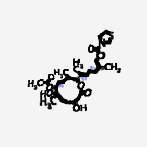 CC(=O)O[C@@H]1/C=C/[C@H](C)[C@H](/C(C)=C/C=C/[C@@H](C)COC(=O)N2CCSC2)OC(=O)C[C@H](O)CC[C@@]1(C)O